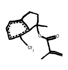 C=C(C)C(=O)OC1(C)CCc2cccc(C(F)(F)F)c21